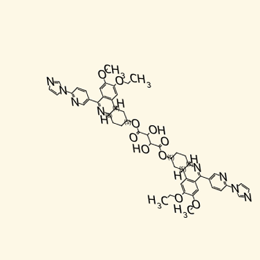 CCOc1cc2c(cc1OC)C(c1ccc(-n3ccnc3)nc1)=N[C@H]1CC[C@H](OC(=O)C(O)C(O)C(=O)O[C@H]3CC[C@@H]4N=C(c5ccc(-n6ccnc6)nc5)c5cc(OC)c(OCC)cc5[C@@H]4C3)C[C@@H]21